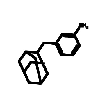 Nc1cccc(CC2[C]3CC4CC(C3)CC2C4)c1